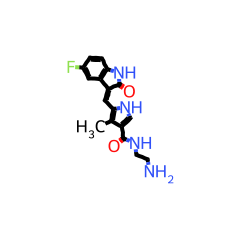 Cc1c(C(=O)NCCN)c[nH]c1C=C1C(=O)Nc2ccc(F)cc21